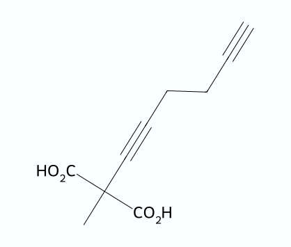 C#CCCC#CC(C)(C(=O)O)C(=O)O